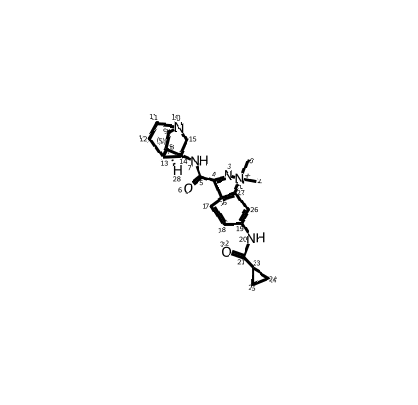 C[N+]1(C)N=C(C(=O)N[C@@H]2CN3CCC2CC3)c2ccc(NC(=O)C3CC3)cc21